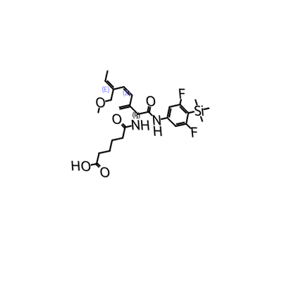 C=C(/C=C\C(=C/C)COC)[C@@H](NC(=O)CCCCC(=O)O)C(=O)Nc1cc(F)c([Si](C)(C)C)c(F)c1